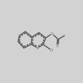 CC(=O)Oc1cc2ccccc2nc1Cl